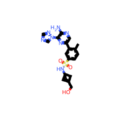 Cc1ccc(S(=O)(=O)NC23CC(CO)(C2)C3)cc1-c1cnc(N)c(-n2cncn2)n1